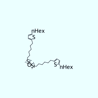 CCCCCCc1ccc(CCCCCC[Si](C)(C)O[Si](C)(C)CCCCCCc2ccc(CCCCCC)s2)s1